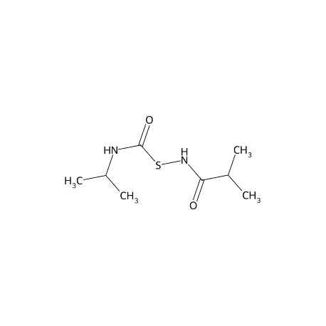 CC(C)NC(=O)SNC(=O)C(C)C